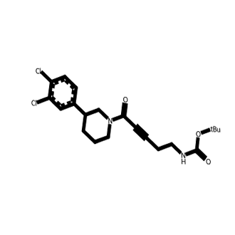 CC(C)(C)OC(=O)NCCC#CC(=O)N1CCCC(c2ccc(Cl)c(Cl)c2)C1